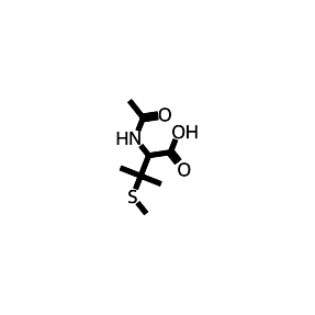 CSC(C)(C)C(NC(C)=O)C(=O)O